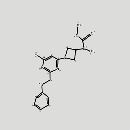 CN(C(=O)OC(C)(C)C)C1CN(c2cc(Cl)nc(COc3ccccc3)n2)C1